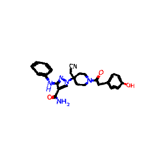 N#CCC1(n2cc(C(N)=O)c(Nc3ccccc3)n2)CCN(C(=O)Cc2ccc(O)cc2)CC1